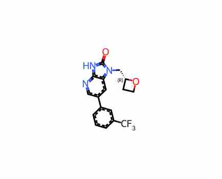 O=c1[nH]c2ncc(-c3cccc(C(F)(F)F)c3)cc2n1C[C@H]1CCO1